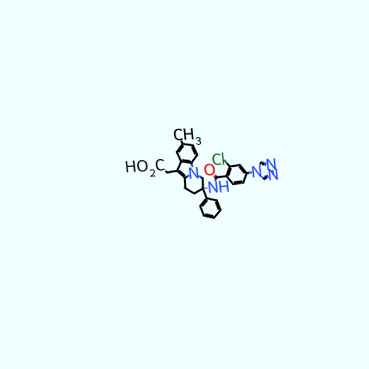 Cc1ccc2c(c1)c(CC(=O)O)c1n2C[C@@](NC(=O)c2ccc(-n3cnnc3)cc2Cl)(c2ccccc2)CC1